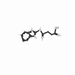 O=C(S)CCC(=O)Oc1nc2ccccc2s1